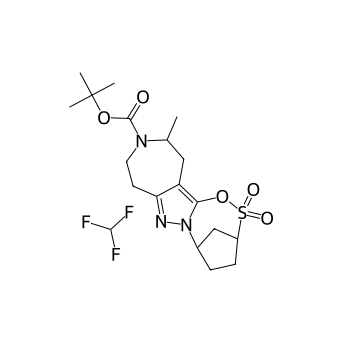 CC1Cc2c(nn3c2OS(=O)(=O)C2CCC3C2)CCN1C(=O)OC(C)(C)C.FC(F)F